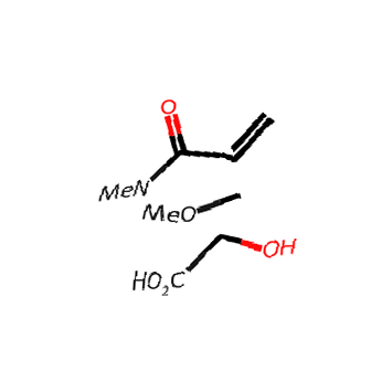 C=CC(=O)NC.COC.O=C(O)CO